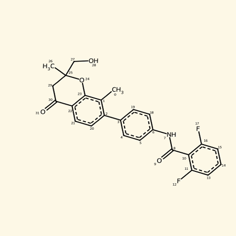 Cc1c(-c2ccc(NC(=O)c3c(F)cccc3F)cc2)ccc2c1OC(C)(CO)CC2=O